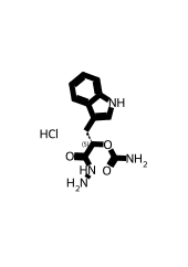 Cl.NNC(=O)[C@H](Cc1c[nH]c2ccccc12)OC(N)=O